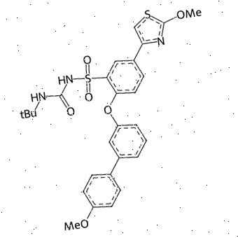 COc1ccc(-c2cccc(Oc3ccc(-c4csc(OC)n4)cc3S(=O)(=O)NC(=O)NC(C)(C)C)c2)cc1